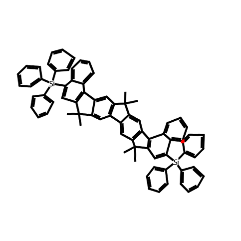 CC1(C)c2cc3c(cc2-c2cc4c(cc21)-c1c(cc([Si](c2ccccc2)(c2ccccc2)c2ccccc2)c2ccccc12)C4(C)C)C(C)(C)c1cc([Si](c2ccccc2)(c2ccccc2)c2ccccc2)c2ccccc2c1-3